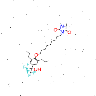 CCCc1cc(C(O)(C(F)(F)F)C(F)(F)F)cc(CCC)c1OCCCCCCCCCN1C(=O)N(C)C(C)(C)C1=O